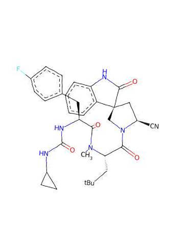 CN(C(=O)[C@H](Cc1ccc(F)cc1)NC(=O)NC1CC1)[C@@H](CC(C)(C)C)C(=O)N1C[C@]2(C[C@H]1C#N)C(=O)Nc1ccccc12